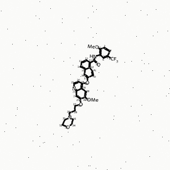 COc1ccc(C(F)(F)F)cc1NC(=O)c1cccc2cc(Oc3ccnc4cc(OCCCN5CCOCC5)c(OC)cc34)ccc12